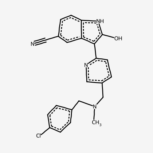 CN(Cc1ccc(Cl)cc1)Cc1ccc(-c2c(O)[nH]c3ccc(C#N)cc23)nc1